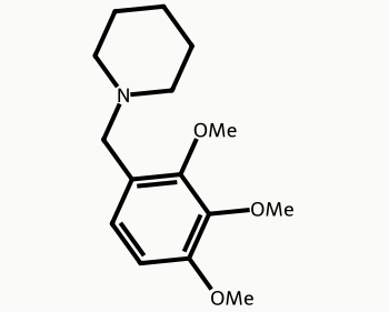 COc1ccc(CN2CCCCC2)c(OC)c1OC